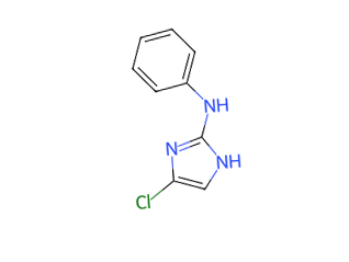 Clc1c[nH]c(Nc2ccccc2)n1